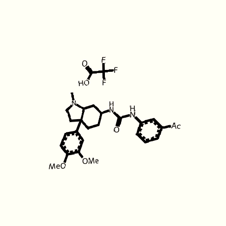 COc1ccc(C23CCC(NC(=O)Nc4cccc(C(C)=O)c4)CC2N(C)CC3)cc1OC.O=C(O)C(F)(F)F